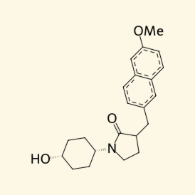 COc1ccc2cc(CC3CCN([C@H]4CC[C@@H](O)CC4)C3=O)ccc2c1